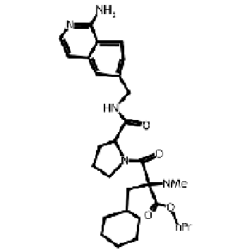 CCCOC(=O)C(CC1CCCCC1)(NC)C(=O)N1CCCC1C(=O)NCc1ccc2c(N)nccc2c1